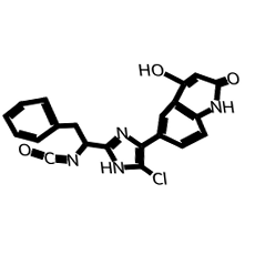 O=C=NC(Cc1ccccc1)c1nc(-c2ccc3[nH]c(=O)cc(O)c3c2)c(Cl)[nH]1